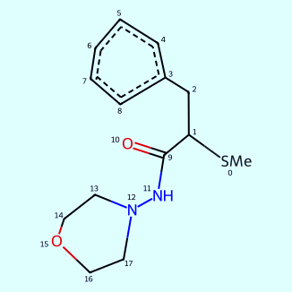 CSC(Cc1ccccc1)C(=O)NN1CCOCC1